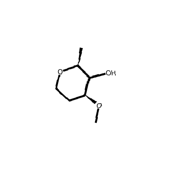 CO[C@H]1CCO[C@@H](C)C1O